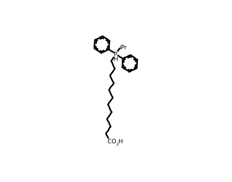 CC(C)[PH](CCCCCCCCCCCC(=O)O)(c1ccccc1)c1ccccc1